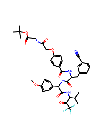 COc1ccc(C(NC(=O)C(Cc2cccc(C#N)c2)NC(=O)c2ccc(OCC(=O)NCC(=O)OC(C)(C)C)cc2)C(=O)NC(C(=O)C(F)(F)F)C(C)C)cc1